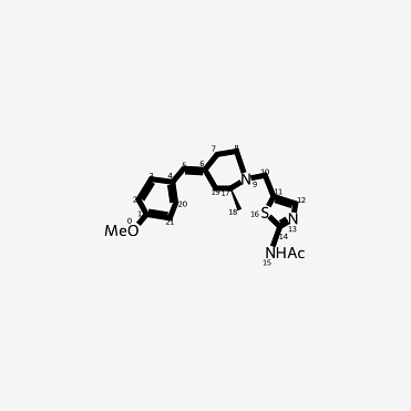 COc1ccc(/C=C2/CCN(Cc3cnc(NC(C)=O)s3)[C@@H](C)C2)cc1